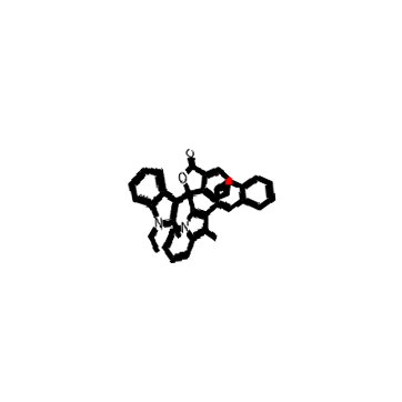 CCn1c(C)c(C2(c3c(-c4ccc5ccccc5c4)c(C)c4ccccn34)OC(=O)c3ccccc32)c2ccccc21